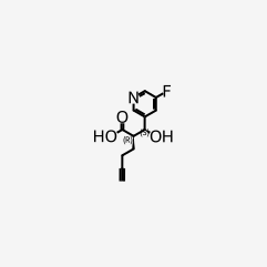 C#CCC[C@@H](C(=O)O)[C@H](O)c1cncc(F)c1